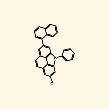 Brc1cc2ccc3cc(-c4cccc5ccccc45)cc4c3c2c(c1)n4-c1ccccc1